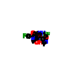 Cc1cnc2c(OC(F)F)cc(C(=O)NC[C@](O)(c3cc4c(c(-c5ccc(F)cc5)n3)OC[C@]4(C)C(N)=O)C3CC3)cc2c1